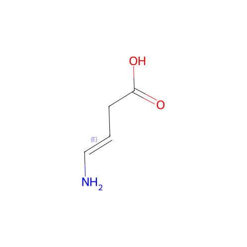 N/C=C/CC(=O)O